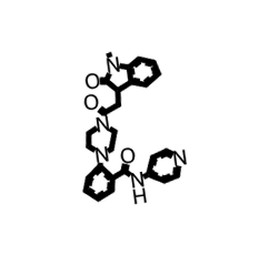 CN1C(=O)C(CC(=O)N2CCN(c3ccccc3C(=O)Nc3ccncc3)CC2)c2ccccc21